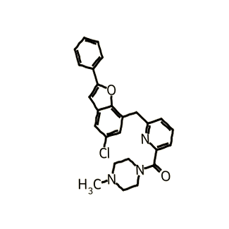 CN1CCN(C(=O)c2cccc(Cc3cc(Cl)cc4cc(-c5ccccc5)oc34)n2)CC1